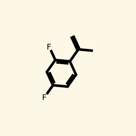 C=C(C)c1ccc(F)cc1F